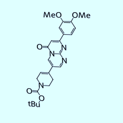 COc1ccc(-c2cc(=O)n3cc(C4=CCN(C(=O)OC(C)(C)C)CC4)cnc3n2)cc1OC